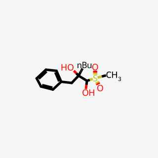 CCCCC(O)(Cc1ccccc1)C(O)S(C)(=O)=O